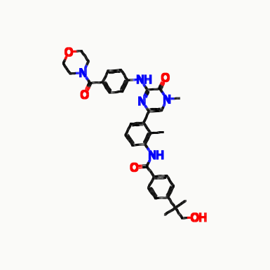 Cc1c(NC(=O)c2ccc(C(C)(C)CO)cc2)cccc1-c1cn(C)c(=O)c(Nc2ccc(C(=O)N3CCOCC3)cc2)n1